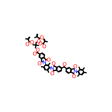 C=C(C)C(=O)OCC(COC(=O)C(=C)C)(COC(=O)C(=C)C)COC(=O)c1ccc2c(c1)C(=O)N(c1c(C)cc(C)c(N3C(=O)c4ccc(C(=O)c5ccc6c(c5)C(=O)N(c5c(C)cc(C)c(C)c5C)C6=O)cc4C3=O)c1C)C2=O